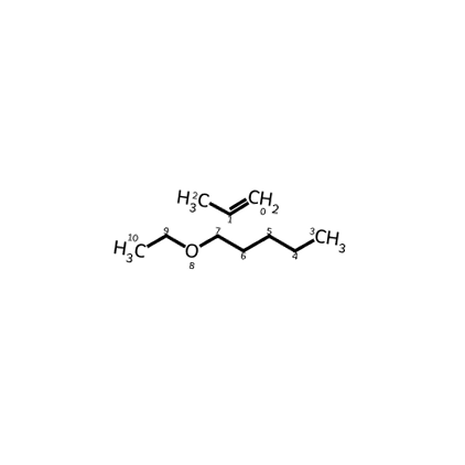 C=CC.CCCCCOCC